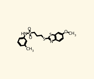 COc1ccc2nc(SCCCS(=O)(=O)Nc3cccc(C)c3)sc2c1